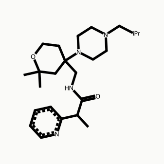 CC(C)CN1CCN(C2(CNC(=O)C(C)c3ccccn3)CCOC(C)(C)C2)CC1